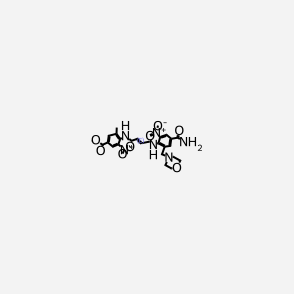 COC(=O)c1cc(C)c(NC/C=C/CNc2c(CN3CCOCC3)cc(C(N)=O)cc2[N+](=O)[O-])c([N+](=O)[O-])c1